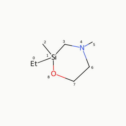 CC[Si]1(C)CN(C)CCO1